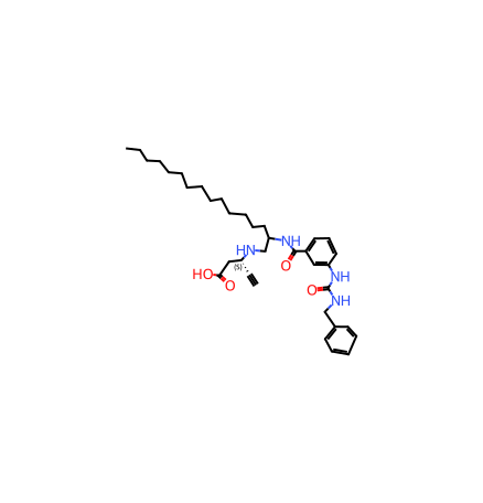 C#C[C@H](CC(=O)O)NCC(CCCCCCCCCCCCCC)NC(=O)c1cccc(NC(=O)NCc2ccccc2)c1